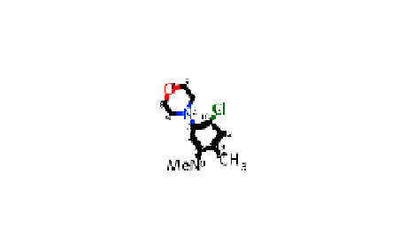 CNc1cc(N2CCOCC2)c(Cl)cc1C